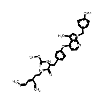 C=C/C(=C\C=N/C)CCNC(=O)C(Cc1ccc(Oc2ccnc3c2c(C)cn3Cc2ccc(OC)cc2)cc1)NC(=O)OC(C)(C)C